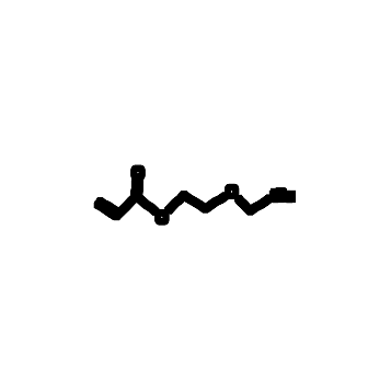 C=CC(=O)OCCOCC(C)(C)C